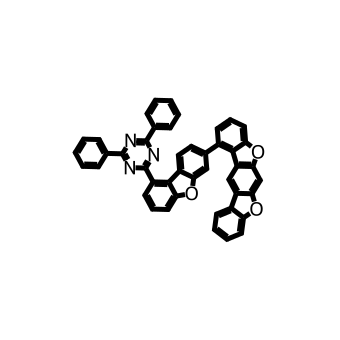 c1ccc(-c2nc(-c3ccccc3)nc(-c3cccc4oc5cc(-c6cccc7oc8cc9oc%10ccccc%10c9cc8c67)ccc5c34)n2)cc1